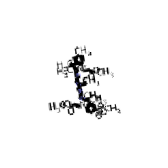 CCC(/C=C/C=C1/N(CCC(=O)OC)c2ccc(S(=O)(=O)OC)cc2C1(C)C)=C\C=C\C1=[N+](CCC(=O)OC)c2ccc(C)cc2C1(C)C